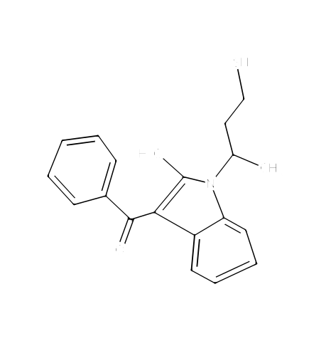 Cc1c(C(=O)c2ccccc2)c2ccccc2n1C(C)CCS